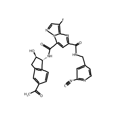 [C-]#[N+]c1cc(CNC(=O)c2cc(C(=O)N[C@@H]3c4ccc(C(C)=O)cc4C[C@H]3O)n3ncc(F)c3n2)ccn1